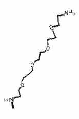 CNCCOCCOCCOCCOCCN